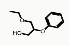 CCOCC(CO)Oc1ccccc1